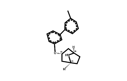 Cc1cccc(-c2cccc(O[C@@H]3C[C@H]4CC[C@@H](C3)N4)c2)c1